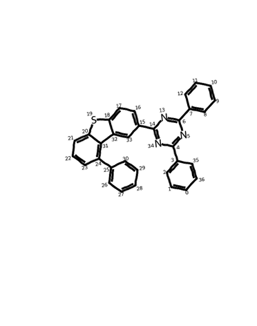 c1ccc(-c2nc(-c3ccccc3)nc(-c3ccc4sc5cccc(-c6ccccc6)c5c4c3)n2)cc1